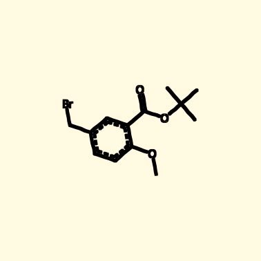 COc1ccc(CBr)cc1C(=O)OC(C)(C)C